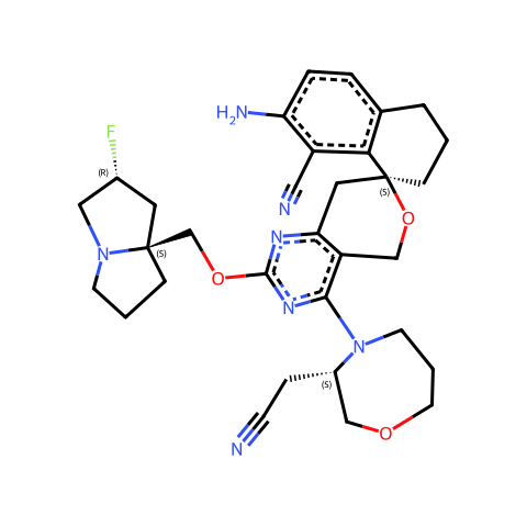 N#CC[C@H]1COCCCN1c1nc(OC[C@@]23CCCN2C[C@H](F)C3)nc2c1CO[C@@]1(CCCc3ccc(N)c(C#N)c31)C2